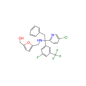 OCc1ccc(CNC(Cc2ccccc2)(c2cc(F)cc(C(F)(F)F)c2)c2ccc(Cl)cn2)o1